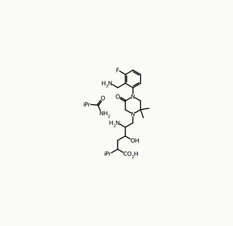 CC(C)C(CC(O)C(N)CN1CC(=O)N(c2cccc(F)c2CN)CC1(C)C)C(=O)O.CC(C)C(N)=O